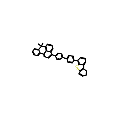 CC1(C)c2ccccc2-c2ccc(-c3ccc(-c4ccc(-c5cccc6c7c(sc56)C=CCC7)cc4)cc3)c3cccc1c23